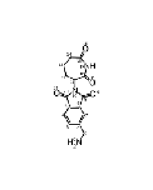 NCc1ccc2c(c1)C(=O)N(C1CCCC(=O)NC1=O)C2=O